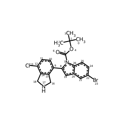 CC(C)(C)OC(=O)n1c(-c2ccc(Cl)c3c2CNC3)cc2cc(Br)ccc21